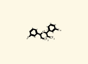 Fc1cccc(C(CC(F)(F)F)SC(CC(F)(F)F)c2cccc(F)c2)c1